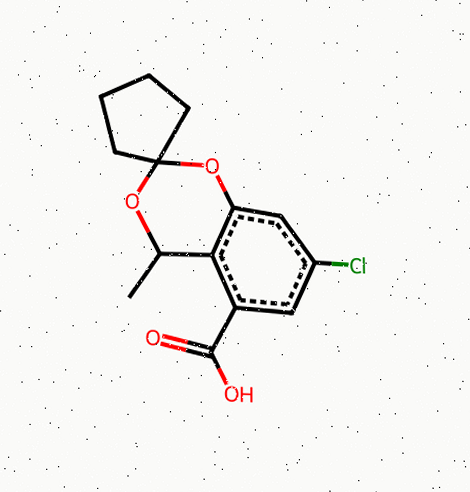 CC1OC2(CCCC2)Oc2cc(Cl)cc(C(=O)O)c21